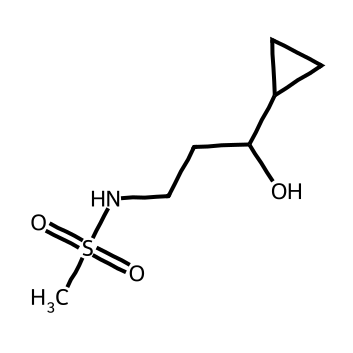 CS(=O)(=O)NCCC(O)C1CC1